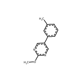 COc1n[c]c(-c2cccc(C)c2)cn1